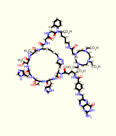 C[C@@H]1NC(=O)[C@H]([C@@H](C)O)NC(=O)[C@H](Cc2cnc[nH]2)NC(=O)[C@H](CO)NC(=O)[C@H](Cc2cnc[nH]2)NC(=O)C(NC(=O)CC[C@H](NC(=O)c2ccc(NCc3cnc4nc(N)[nH]c(=O)c4n3)cc2)C(=O)O)Cc2cn(nn2)CCCC[C@H](C(=O)NCC(=O)N[C@H](Cc2ccccc2)C(=O)N[C@H](CCCCNC(=O)CN2CCN(CC(=O)O)CCN(CC(=O)O)CCN(CC(=O)O)CC2)C(=O)O)NC1=O